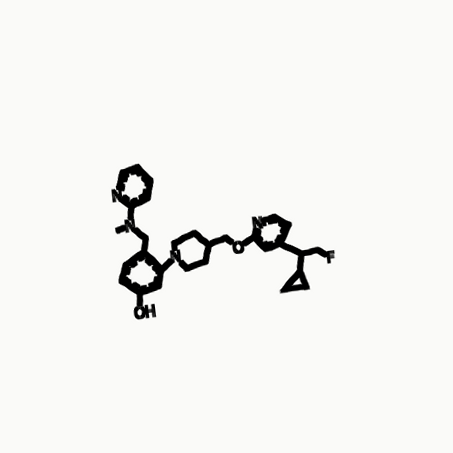 CN(Cc1ccc(O)cc1N1CCC(COc2cc(C(CF)C3CC3)ccn2)CC1)c1ccccn1